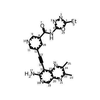 CCc1nnc(NC(=O)c2cncc(C#Cc3c(N)ncc4nc(C)c(C)nc34)c2)o1